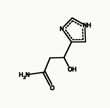 NC(=O)CC(O)c1c[nH]cn1